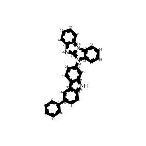 c1ccc(-c2ccc3[nH]c4cc(-n5c6ccccc6n6c7ccccc7nc56)ccc4c3c2)cc1